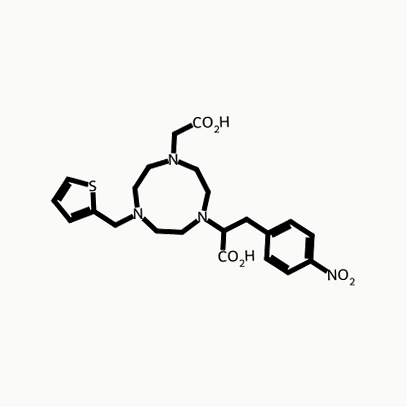 O=C(O)CN1CCN(Cc2cccs2)CCN(C(Cc2ccc([N+](=O)[O-])cc2)C(=O)O)CC1